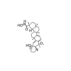 COC1(C)C2=CC=C3[C@@](C)(CC[C@@]4(C)[C@@H]5C[C@](C)(C(=O)NO)CC[C@]5(C)CC[C@]34C)C2=CC2(O)OCCN=C21